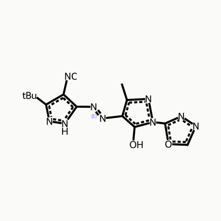 [C-]#[N+]c1c(C(C)(C)C)n[nH]c1/N=N/c1c(C)nn(-c2nnco2)c1O